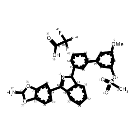 COc1cc(OS(C)(=O)=O)cc(-c2cccc(C3N=C(c4ccc5c(c4)OC(N)O5)c4ccccc43)c2)c1.O=C(O)C(F)(F)F